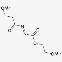 COCCOC(=O)N=NC(=O)CCOC